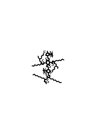 CCCCCCCCc1cc(C)sc1-c1sc(-c2c(F)cc(-c3cc4c(-c5cc(CCCCCC)c(CC(CC)CCCC)s5)c5sc(-c6cc(F)c(C)c7nsnc67)cc5c(-c5cc(CCCCCC)c(CC(CC)CCCC)s5)c4s3)c3nsnc23)cc1CCCCCCCC